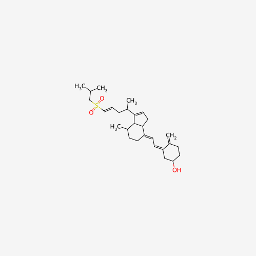 C=C1CCC(O)CC1=CC=C1CCC(C)C2C(C(C)CC=CS(=O)(=O)CC(C)C)=CCC12